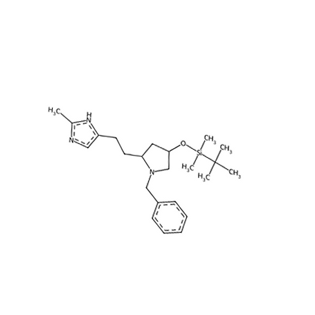 Cc1ncc(CCC2CC(O[Si](C)(C)C(C)(C)C)CN2Cc2ccccc2)[nH]1